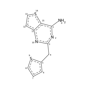 Nc1nc(Cc2cccs2)nc2ccsc12